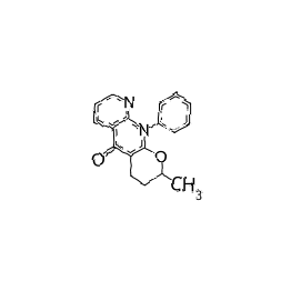 CC1CCc2c(n(-c3ccccc3)c3ncccc3c2=O)O1